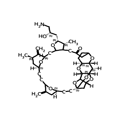 C=C1C[C@@H]2CC[C@@]34C[C@H]5O[C@H]6[C@@H](O3)[C@H]3OC(CC[C@@H]3O[C@H]6C5O4)CC(=O)CC3C(C[C@H]4O[C@@H](CCC1O2)C[C@@H](C)C4=C)O[C@H](C[C@H](O)CN)[C@@H]3C